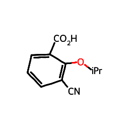 CC(C)Oc1c(C#N)cccc1C(=O)O